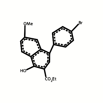 CCOC(=O)c1cc(-c2ccc(Br)cc2)c2cc(OC)ccc2c1O